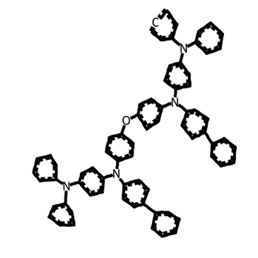 c1ccc(-c2ccc(N(c3ccc(Oc4ccc(N(c5ccc(-c6ccccc6)cc5)c5ccc(N(c6ccccc6)c6ccccc6)cc5)cc4)cc3)c3ccc(N(c4ccccc4)c4ccccc4)cc3)cc2)cc1